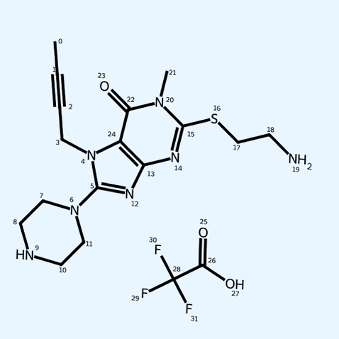 CC#CCn1c(N2CCNCC2)nc2nc(SCCN)n(C)c(=O)c21.O=C(O)C(F)(F)F